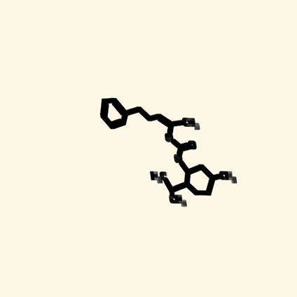 CC(=CCCc1ccccc1)OC(=O)OC1CC(C)CCC1C(C)C